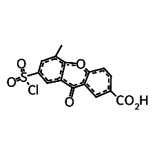 Cc1cc(S(=O)(=O)Cl)cc2c(=O)c3cc(C(=O)O)ccc3oc12